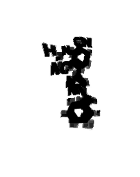 N#Cc1ccc(-c2cn(Cc3ccccc3)nn2)c(C#N)c1N